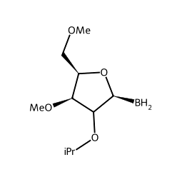 B[C@@H]1O[C@H](COC)[C@H](OC)C1OC(C)C